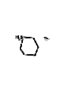 C1CC[SiH2]CC1.[Ta]